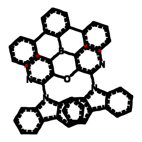 c1ccc(-c2cccc(-c3ccccc3)c2B2c3ccnc(-n4c5ccccc5c5ccccc54)c3Oc3c2ccnc3-n2c3ccccc3c3ccccc32)cc1